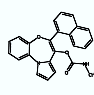 CNC(=O)OC1=C(c2cccc3ccccc23)Oc2ccccc2-n2cccc21